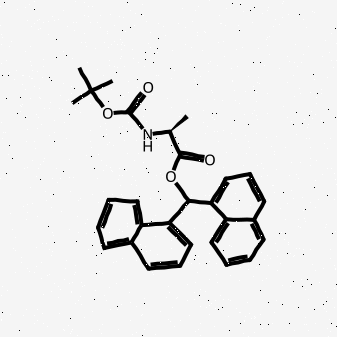 C[C@H](NC(=O)OC(C)(C)C)C(=O)OC(c1cccc2ccccc12)c1cccc2ccccc12